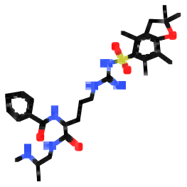 CNC(C)CNC(=O)C(CCCNC(=N)NS(=O)(=O)c1c(C)c(C)c2c(c1C)CC(C)(C)O2)NC(=O)c1ccccc1